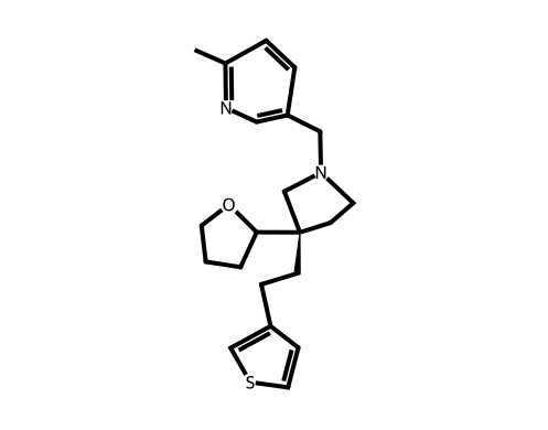 Cc1ccc(CN2CC[C@](CCc3ccsc3)(C3CCCO3)C2)cn1